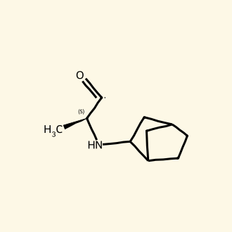 C[C@@H]([C]=O)NC1CC2CCC1C2